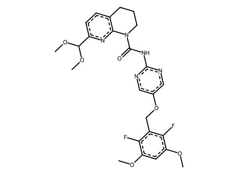 COc1cc(OC)c(F)c(COc2cnc(NC(=O)N3CCCc4ccc(C(OC)OC)nc43)nc2)c1F